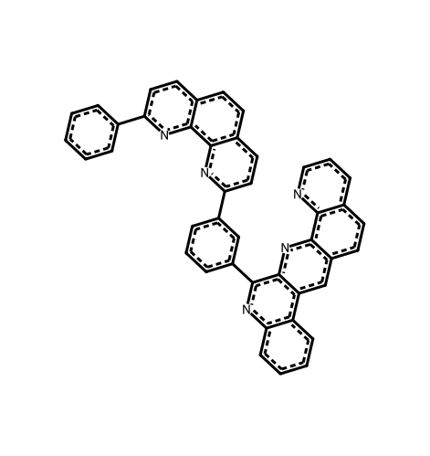 c1ccc(-c2ccc3ccc4ccc(-c5cccc(-c6nc7ccccc7c7cc8ccc9cccnc9c8nc67)c5)nc4c3n2)cc1